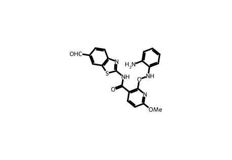 COc1ccc(C(=O)Nc2nc3ccc(C=O)cc3s2)c(ONc2ccccc2N)n1